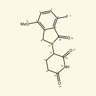 COc1ccc(F)c2c1CN(C1CCC(=O)NC1=O)C2=O